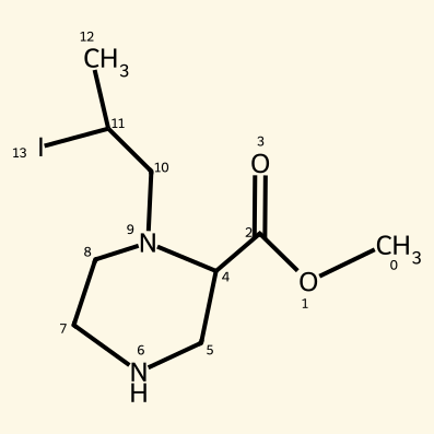 COC(=O)C1CNCCN1CC(C)I